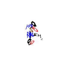 CCn1c(SCC(=O)Nc2ccccc2)nnc1-c1ccc2c(c1)OCC2